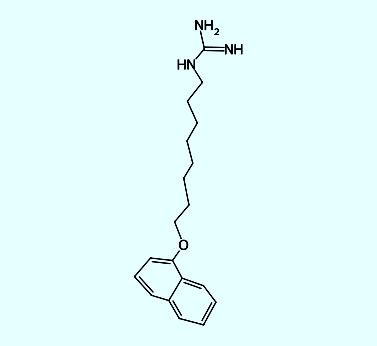 N=C(N)NCCCCCCCCOc1cccc2ccccc12